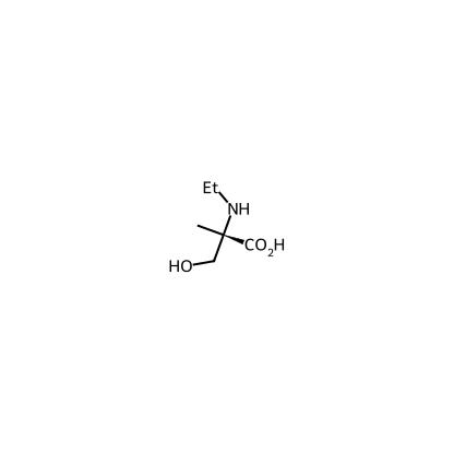 CCN[C@@](C)(CO)C(=O)O